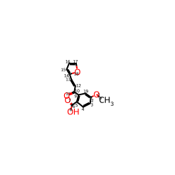 COc1ccc(C(=O)O)c(C(=O)C=Cc2ccco2)c1